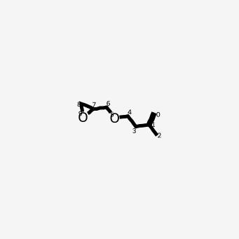 C=C(C)CCOCC1CO1